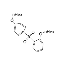 CCCCCCOc1ccc(S(=O)(=O)c2ccccc2OCCCCCC)cc1